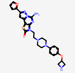 Nc1nc2c(sc(=O)n2CCN2CCN(c3ccc(OC4CNC4)cc3)CC2)c2cc(-c3ccco3)nn12